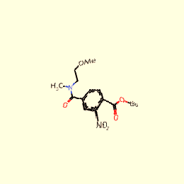 COCCN(C)C(=O)c1ccc(C(=O)OC(C)(C)C)c([N+](=O)[O-])c1